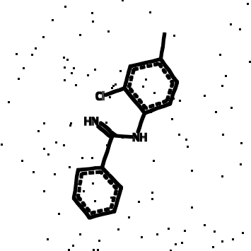 Cc1ccc(NC(=N)c2ccccc2)c(Cl)c1